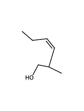 CC/C=C\C(C)CO